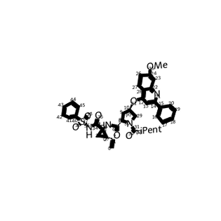 C=C[C@@H]1C[C@]1(NC(=O)[C@@H]1C[C@@H](Oc2cc(-c3ccccc3)nc3cc(OC)ccc23)CN1C(=O)[C@@H](C)CCC)C(=O)NS(=O)(=O)c1ccccc1